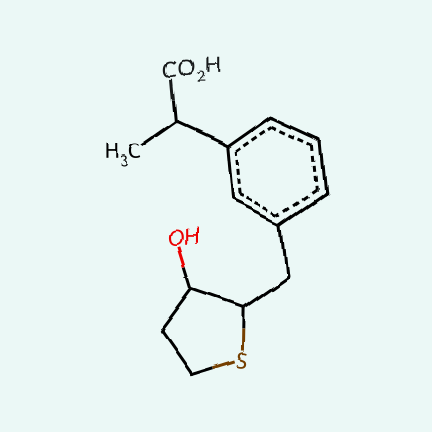 CC(C(=O)O)c1cccc(CC2SCCC2O)c1